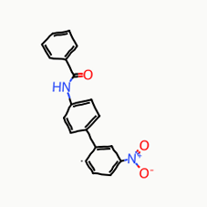 O=C(Nc1ccc(-c2[c]ccc([N+](=O)[O-])c2)cc1)c1ccccc1